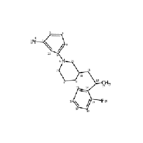 CC(C)c1cccc(N2CCCC(CC(C)c3ccccc3F)C2)c1